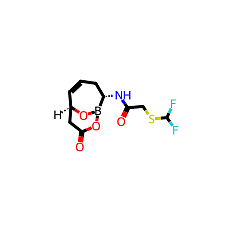 O=C(CSC(F)F)N[C@H]1CC=C[C@@H]2CC(=O)OB1O2